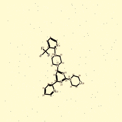 FC(F)(F)c1cccnc1N1CCN(c2cc(-c3ccccn3)nc(N3CCOCC3)n2)CC1